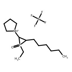 CCCCCCC1C([NH+]2CCCC2)P1(=O)CC.F[B-](F)(F)F